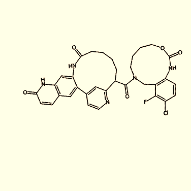 O=C1CCCCC(C(=O)N2CCCCOC(=O)Nc3ccc(Cl)c(F)c3C2)c2cc(ccn2)-c2cc3ccc(=O)[nH]c3cc2N1